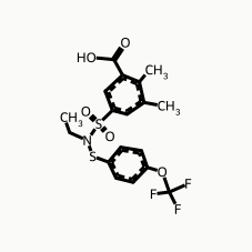 CCN(Sc1ccc(OC(F)(F)F)cc1)S(=O)(=O)c1cc(C)c(C)c(C(=O)O)c1